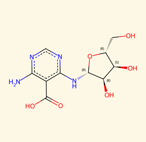 Nc1ncnc(N[C@@H]2O[C@H](CO)[C@@H](O)[C@H]2O)c1C(=O)O